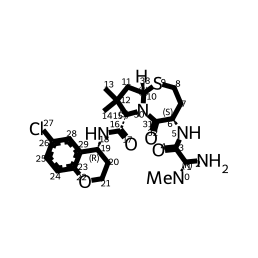 CN[C@@H](N)C(=O)N[C@H]1CCS[C@H]2CC(C)(C)[C@@H](C(=O)N[C@@H]3CCOc4ccc(Cl)cc43)N2C1=O